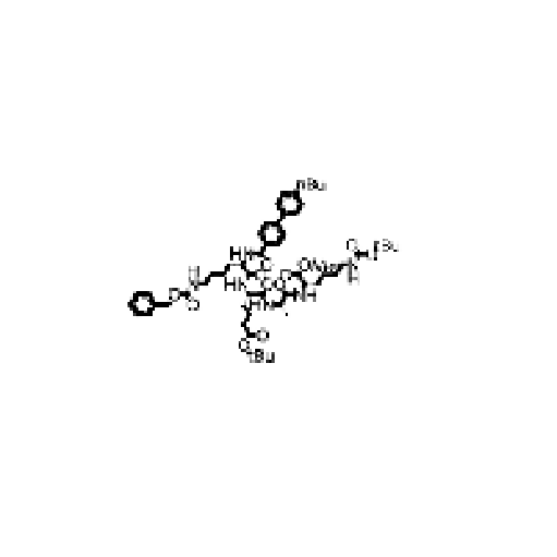 CCCCc1ccc(-c2ccc(C(=O)N[C@@H](CCCCNC(=O)OCc3ccccc3)C(=O)N[C@@H](CCCC(=O)OC(C)(C)C)C(=O)N[C@@H](C)C(=O)N[C@@H](CCCCNC(=O)OC(C)(C)C)C(=O)OC)cc2)cc1